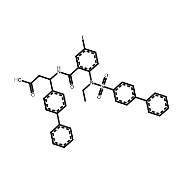 CCN(c1ccc(I)cc1C(=O)NC(CC(=O)O)c1ccc(-c2ccccc2)cc1)S(=O)(=O)c1ccc(-c2ccccc2)cc1